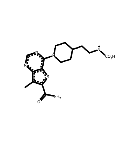 Cc1c(C(N)=O)sc2c(N3CCC(CCNC(=O)O)CC3)ncnc12